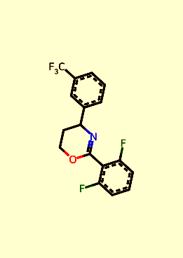 Fc1cccc(F)c1C1=NC(c2cccc(C(F)(F)F)c2)CCO1